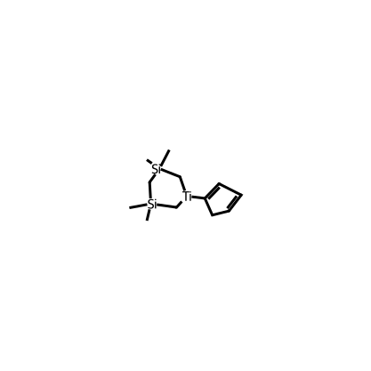 C[Si]1(C)[CH2][Ti]([C]2=CC=CC2)[CH2][Si](C)(C)C1